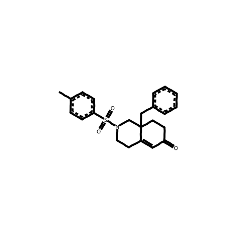 Cc1ccc(S(=O)(=O)N2CCC3=CC(=O)CCC3(Cc3ccccc3)C2)cc1